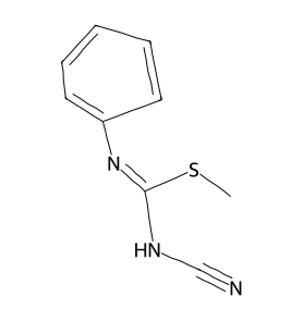 CS/C(=N\c1ccccc1)NC#N